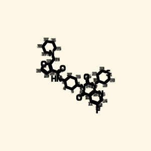 O=C(NC1CCC(n2c(=O)c3cc(F)cnc3n(C3CCSCC3)c2=O)CC1)c1ccoc1CN1CCCCC1